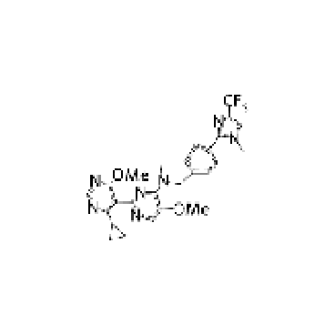 COc1cnc(-c2c(OC)ncnc2C2CC2)nc1N(C)Cc1ccc(-c2nc(C(F)(F)F)cn2C)cc1